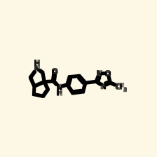 O=C(Nc1ccc(-c2noc(C(F)(F)F)n2)cc1)C12CCCC1CNC2